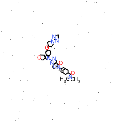 CN(C)C(=O)C1CC2CC(CC(NC(=O)c3cnc(N4CC5(CCOCC5)c5cc(OC6CCN(c7ncccn7)CC6)ccc54)nc3C(F)(F)F)C2)C1